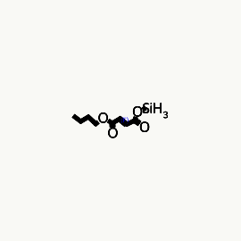 CCCCOC(=O)/C=C/C(=O)O[SiH3]